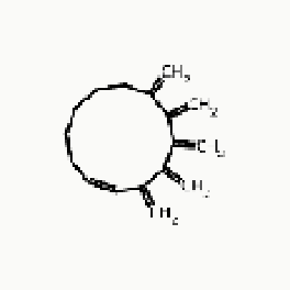 C=C1C=CCCCCCC(=C)C(=C)C(=C)C1=C